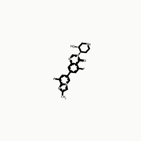 Cc1cn2cc(-c3cc(F)c4c(=O)n([C@@H]5CCNC[C@@H]5O)cnc4c3)cc(F)c2n1